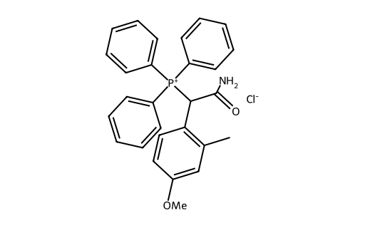 COc1ccc(C(C(N)=O)[P+](c2ccccc2)(c2ccccc2)c2ccccc2)c(C)c1.[Cl-]